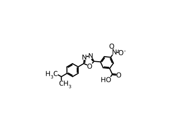 CC(C)c1ccc(-c2nnc(-c3cc(C(=O)O)cc([N+](=O)[O-])c3)o2)cc1